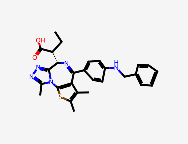 CCC(C(=O)O)[C@@H]1N=C(c2ccc(NCc3ccccc3)cc2)c2c(sc(C)c2C)-n2c(C)nnc21